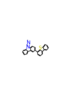 C=NCn1c2ccccc2c2cc(-c3cccc4c3sc3ccccc34)ccc21